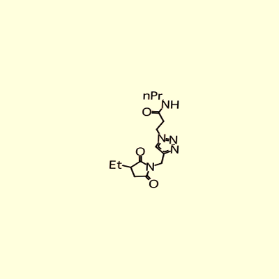 CCCNC(=O)CCn1cc(CN2C(=O)CC(CC)C2=O)nn1